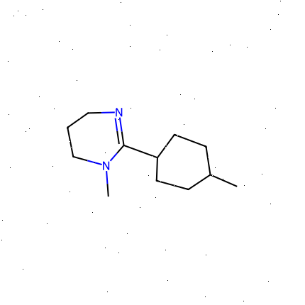 CC1CCC(C2=NCCCN2C)CC1